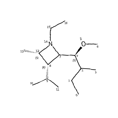 CCC(C)[C@H](OC)C1[C@H](C(C)C)[C@H](C)N1CC